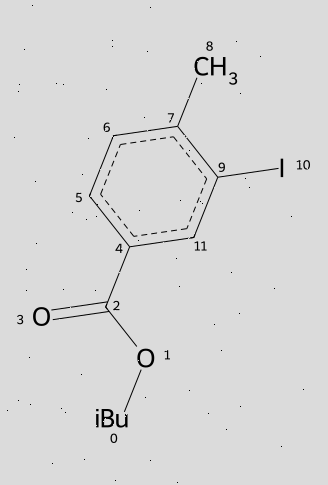 CCC(C)OC(=O)c1ccc(C)c(I)c1